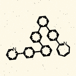 C1=CCN=C(c2ccc(-c3ccccc3-c3cccc(-c4ccccc4-c4ccc(-c5ccccn5)cc4)c3)cc2)C=C1